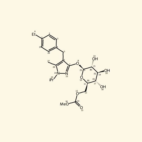 CCc1ccc(Cc2c(O[C@@H]3O[C@H](COC(=O)OC)[C@@H](O)[C@H](O)[C@H]3O)nn(C(C)C)c2C)cc1